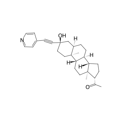 CC(=O)[C@H]1CC[C@H]2[C@@H]3CC[C@@H]4C[C@@](O)(C#Cc5ccncc5)CC[C@]4(C)[C@H]3CC[C@]12C